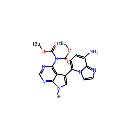 CC(C)n1cc(-c2ccc(N)c3nccn23)c2c(N(C(=O)OC(C)(C)C)C(=O)OC(C)(C)C)ncnc21